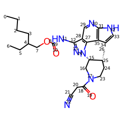 CCCCC(CC)COC(=O)Nc1nn([C@H]2CN(C(=O)CC#N)CC[C@H]2C)c2c1cnc1[nH]ccc12